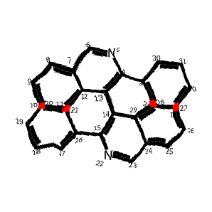 c1ccc(-c2ncc3ccccc3c2-c2c(-c3ccccc3)ncc3ccccc23)cc1